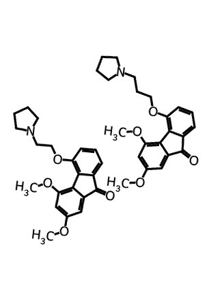 COc1cc(OC)c2c(c1)C(=O)c1cccc(OCCCN3CCCC3)c1-2.COc1cc(OC)c2c(c1)C(=O)c1cccc(OCCN3CCCC3)c1-2